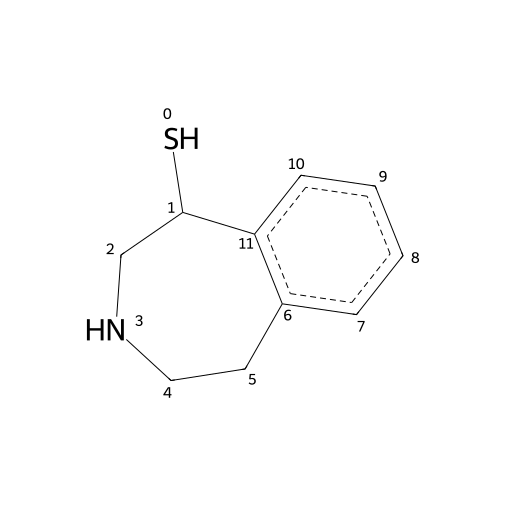 SC1CNCCc2ccccc21